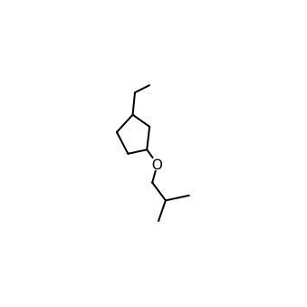 CCC1CCC(OCC(C)C)C1